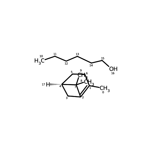 CC1=C2C[C@@H](CC1)C2(C)C.CCCCCCO